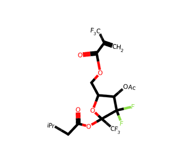 C=C(C(=O)OCC1OC(OC(=O)CC(C)C)(C(F)(F)F)C(F)(F)C1OC(C)=O)C(F)(F)F